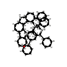 c1ccc(-c2ccc(-n3c4ccccc4c4ccc5sc6ccc7c8ccccc8n(-c8nc(-c9ccccc9)nc(-c9ccccc9)n8)c7c6c5c43)cc2)cc1